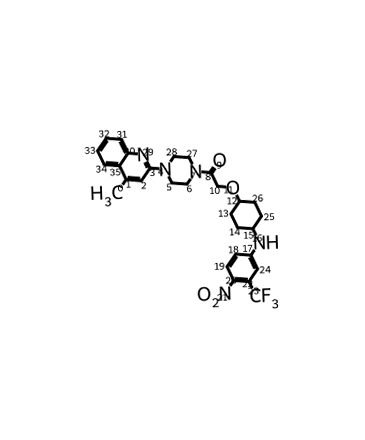 Cc1cc(N2CCN(C(=O)COC3CCC(Nc4ccc([N+](=O)[O-])c(C(F)(F)F)c4)CC3)CC2)nc2ccccc12